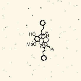 COc1cc(O)c2c3c1O[C@H]1[C@@H](N(CC(C)C)C(=O)C=Cc4ccccc4)CC[C@H]4[C@@H](C2)N(CCc2ccccc2)CC[C@@]341